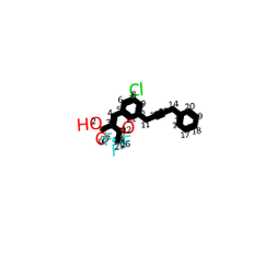 O=C(O)C1=Cc2cc(Cl)cc(CC#CCc3ccccc3)c2OC1C(F)(F)F